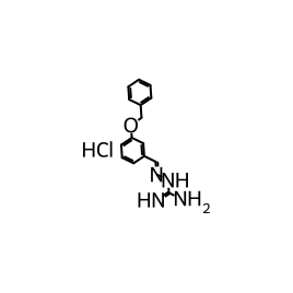 Cl.N=C(N)NN=Cc1cccc(OCc2ccccc2)c1